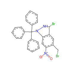 O=[N+]([O-])c1cc2c(cc1CBr)C(Br)NN2C(c1ccccc1)(c1ccccc1)c1ccccc1